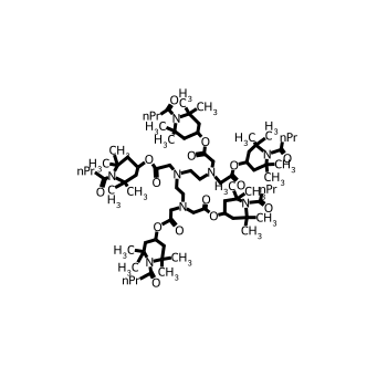 CCCC(=O)N1C(C)(C)CC(OC(=O)CN(CCN(CC(=O)OC2CC(C)(C)N(C(=O)CCC)C(C)(C)C2)CC(=O)OC2CC(C)(C)N(C(=O)CCC)C(C)(C)C2)CCN(CC(=O)OC2CC(C)(C)N(C(=O)CCC)C(C)(C)C2)CC(=O)OC2CC(C)(C)N(C(=O)CCC)C(C)(C)C2)CC1(C)C